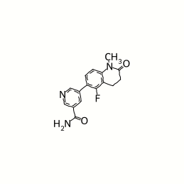 CN1C(=O)CCc2c1ccc(-c1cncc(C(N)=O)c1)c2F